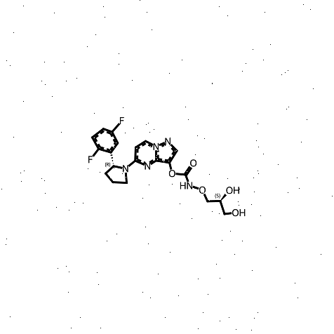 O=C(NOC[C@@H](O)CO)Oc1cnn2ccc(N3CCC[C@@H]3c3cc(F)ccc3F)nc12